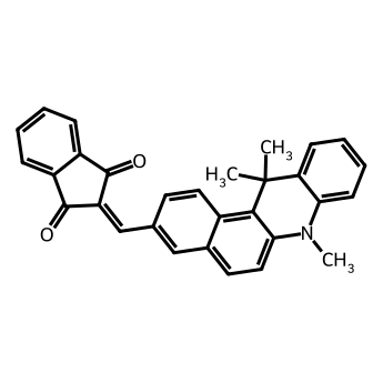 CN1c2ccccc2C(C)(C)c2c1ccc1cc(C=C3C(=O)c4ccccc4C3=O)ccc21